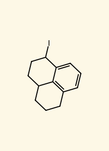 IC1CCC2CCCc3cccc1c32